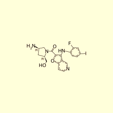 N[C@@H]1C[C@H](CO)N(C(=O)c2oc3ccncc3c2Nc2ccc(I)cc2F)C1